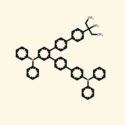 CCC(N)(CC)c1ccc(-c2ccc(-c3ccc(N(c4ccccc4)c4ccccc4)cc3-c3ccc(-c4ccc(N(c5ccccc5)c5ccccc5)cc4)cc3)cc2)cc1